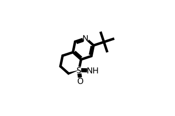 CC(C)(C)c1cc2c(cn1)CCC[S@@]2(=N)=O